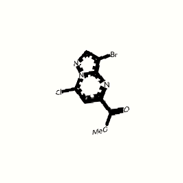 COC(=O)c1cc(Cl)n2ncc(Br)c2n1